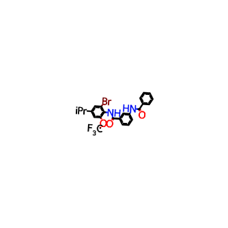 CC(C)c1cc(Br)c(NC(=O)c2cccc(NC(=O)c3ccccc3)c2)c(OC(F)(F)F)c1